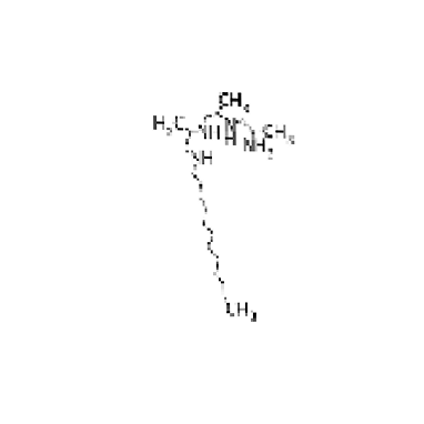 CCCCCCCCCCCCNCC(C)NCC(C)NCC(C)N